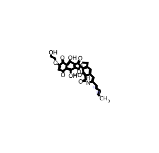 C/C=C/C=C/c1cc2cc3c(c(O)c2c(=O)[nH]1)[C@@]1(CC3)C(=O)c2c(O)c3c(c(O)c2C1=O)C(=O)C(OCCO)=CC3=O